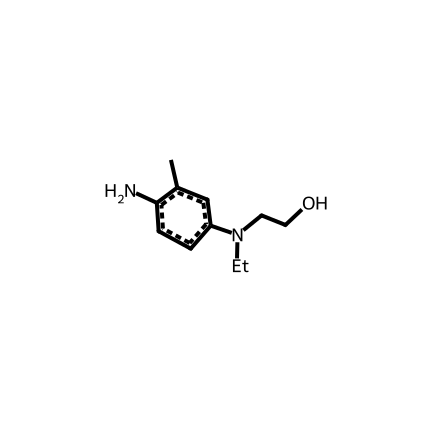 [CH2]CN(CCO)c1ccc(N)c(C)c1